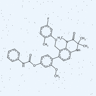 COc1cc(OC(=O)Nc2ccccc2)ccc1-c1ccc2c(c1COc1cc(F)ccc1C)N(C)C(=O)C(C)(C)N2